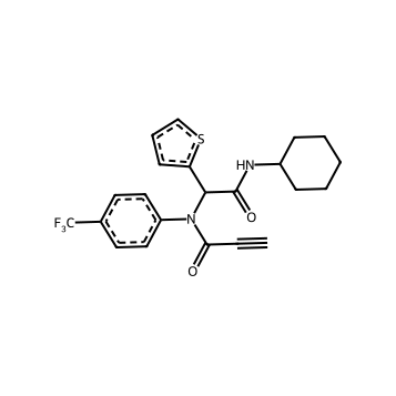 C#CC(=O)N(c1ccc(C(F)(F)F)cc1)C(C(=O)NC1CCCCC1)c1cccs1